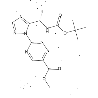 COC(=O)c1cnc(-n2ncnc2[C@H](C)NC(=O)OC(C)(C)C)cn1